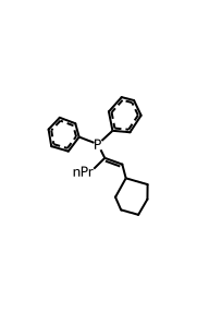 CCCC(=CC1CCCCC1)P(c1ccccc1)c1ccccc1